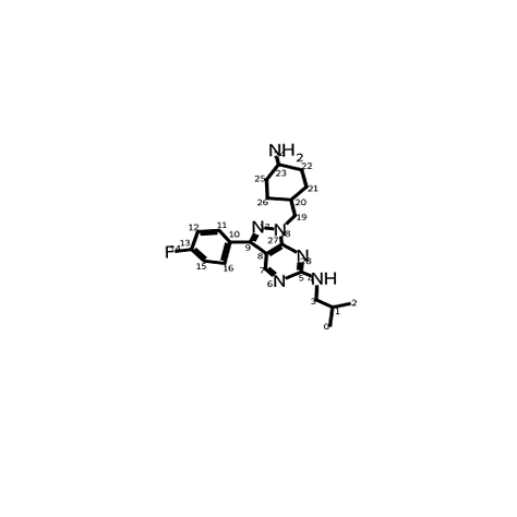 CC(C)CNc1ncc2c(-c3ccc(F)cc3)nn(CC3CCC(N)CC3)c2n1